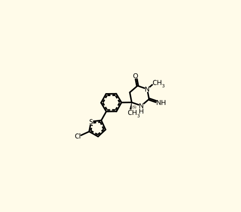 CN1C(=N)N[C@](C)(c2cccc(-c3ccc(Cl)s3)c2)CC1=O